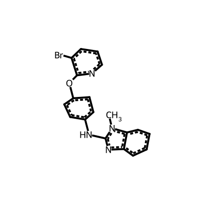 Cn1c(Nc2ccc(Oc3ncccc3Br)cc2)nc2ccccc21